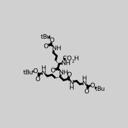 CC(C)(C)OC(=O)NCCC[C@@H](CC(=O)NCCNC(=O)OC(C)(C)C)NC(=O)[C@H](CCCNC(=O)OC(C)(C)C)NC(=O)O